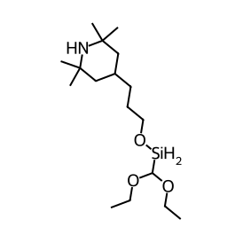 CCOC(OCC)[SiH2]OCCCC1CC(C)(C)NC(C)(C)C1